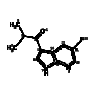 CC(C)C(=O)c1c[nH]c2ncc(F)cc12